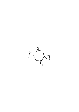 C1CC12CNC1(CC1)CN2